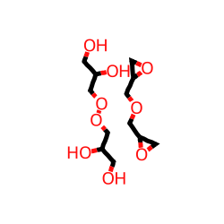 C(OCC1CO1)C1CO1.OCC(O)COOCC(O)CO